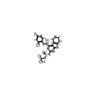 O=C(O)C[S+]([O-])Cc1nc(NCc2ccc(F)cc2Cl)c2c3c(sc2n1)CCCC3